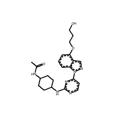 CC(=O)NC1CCC(Nc2nccc(-n3ncc4c(OCCCO)cccc43)n2)CC1